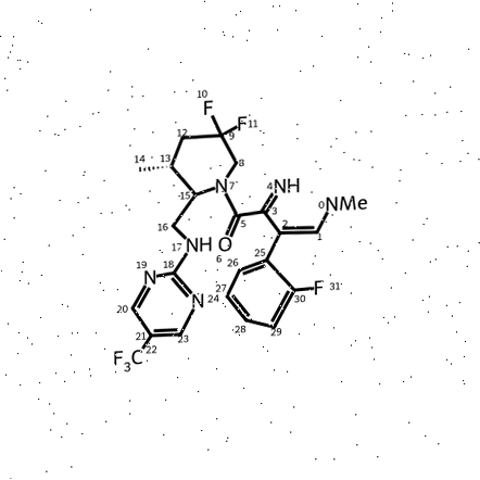 CN/C=C(\C(=N)C(=O)N1CC(F)(F)C[C@@H](C)C1CNc1ncc(C(F)(F)F)cn1)c1ccccc1F